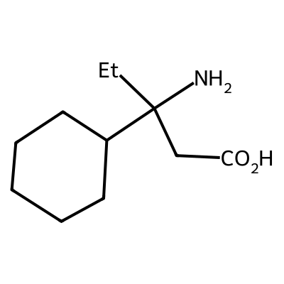 CCC(N)(CC(=O)O)C1CCCCC1